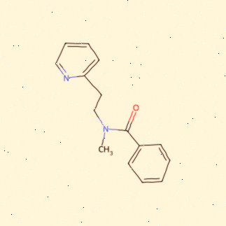 CN(CCc1ccccn1)C(=O)c1ccccc1